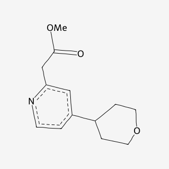 COC(=O)Cc1cc(C2CCOCC2)ccn1